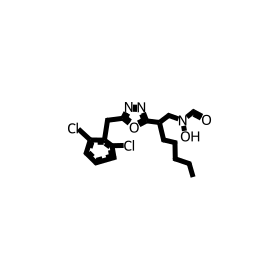 CCCCCC(CN(O)C=O)c1nnc(Cc2c(Cl)cccc2Cl)o1